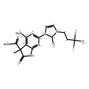 CNC(=O)C1(C)C(=O)Nc2nc(N3C=CN(CCC(F)(F)C(F)(F)F)C3Cl)nc(NC)c21